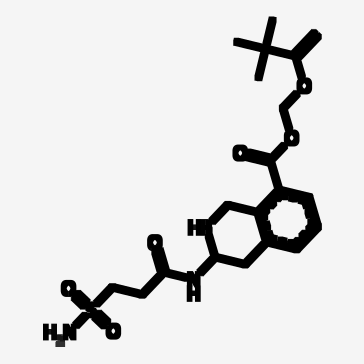 C=C(OCOC(=O)c1cccc2c1CBC(NC(=O)CCS(N)(=O)=O)C2)C(C)(C)C